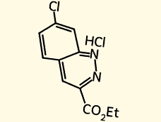 CCOC(=O)c1cc2ccc(Cl)cc2nn1.Cl